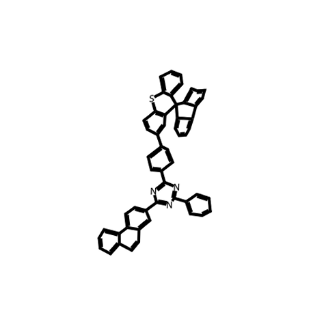 c1ccc(-c2nc(-c3ccc(-c4ccc5c(c4)C4(c6ccccc6S5)c5ccccc5-c5ccccc54)cc3)nc(-c3ccc4c(ccc5ccccc54)c3)n2)cc1